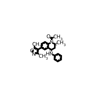 CC(=O)N1c2ccc(-c3c(C)noc3C)cc2[C@@H](Nc2ccccc2)C[C@H]1C